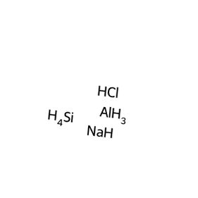 Cl.[AlH3].[NaH].[SiH4]